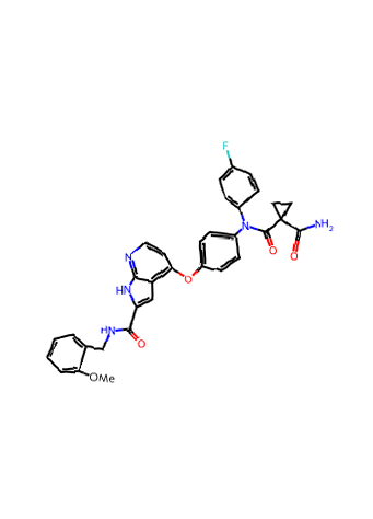 COc1ccccc1CNC(=O)c1cc2c(Oc3ccc(N(C(=O)C4(C(N)=O)CC4)c4ccc(F)cc4)cc3)ccnc2[nH]1